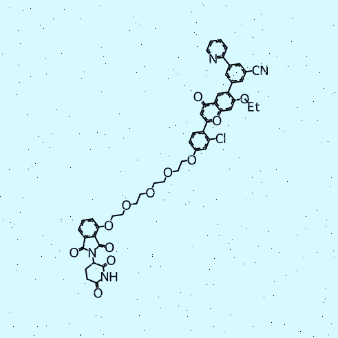 CCOc1cc2oc(-c3ccc(OCCOCCOCCOCCOc4cccc5c4C(=O)N(C4CCC(=O)NC4=O)C5=O)cc3Cl)cc(=O)c2cc1-c1cc(C#N)cc(-c2ccccn2)c1